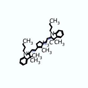 CCCCN1/C(=C/C=C2\CCC(/C=C/C3=[N+](CCCC)c4ccccc4C3(C)C)=C2C)C(C)(C)c2ccccc21